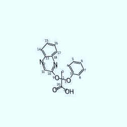 CC(Oc1ccccc1)(Oc1cnc2ccccc2n1)C(=O)O